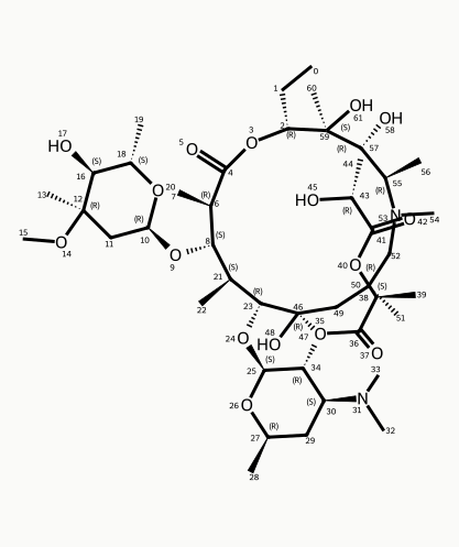 CC[C@H]1OC(=O)[C@H](C)[C@@H](O[C@H]2C[C@@](C)(OC)[C@@H](O)[C@H](C)O2)[C@H](C)[C@@H](O[C@@H]2O[C@H](C)C[C@H](N(C)C)[C@H]2OC(=O)[C@H](C)OC(=O)[C@@H](C)O)[C@](C)(O)C[C@@H](C)CN(C)[C@H](C)[C@@H](O)[C@]1(C)O